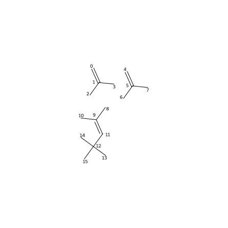 C=C(C)C.C=C(C)C.CC(C)=CC(C)(C)C